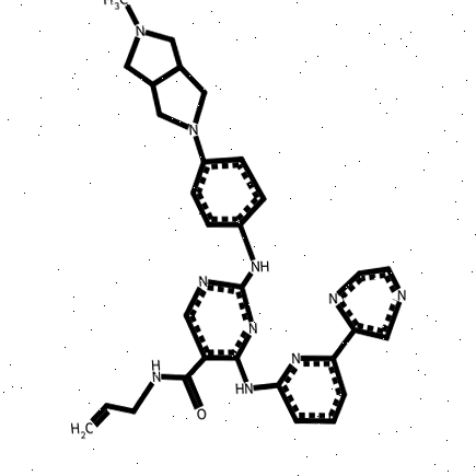 C=CCNC(=O)c1cnc(Nc2ccc(N3CC4CN(C)CC4C3)cc2)nc1Nc1cccc(-c2cnccn2)n1